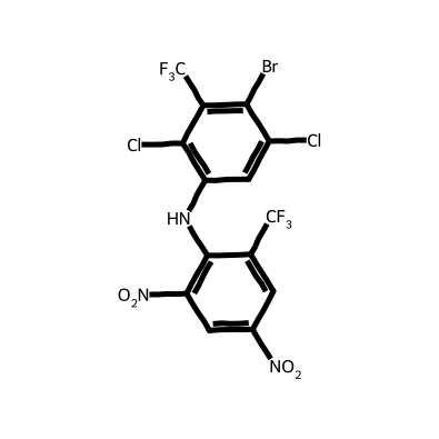 O=[N+]([O-])c1cc([N+](=O)[O-])c(Nc2cc(Cl)c(Br)c(C(F)(F)F)c2Cl)c(C(F)(F)F)c1